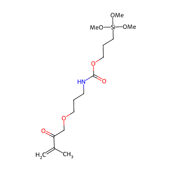 C=C(C)C(=O)COCCCNC(=O)OCCC[Si](OC)(OC)OC